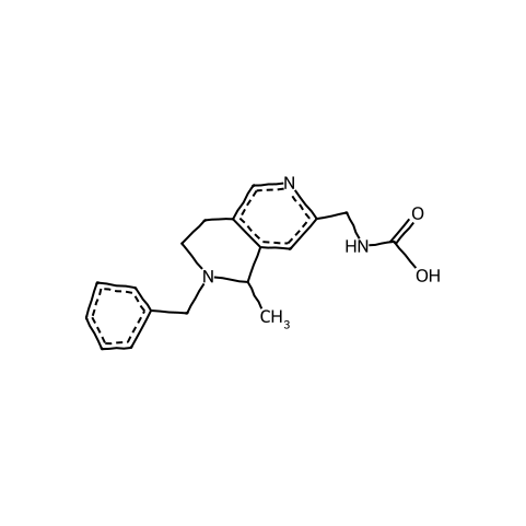 CC1c2cc(CNC(=O)O)ncc2CCN1Cc1ccccc1